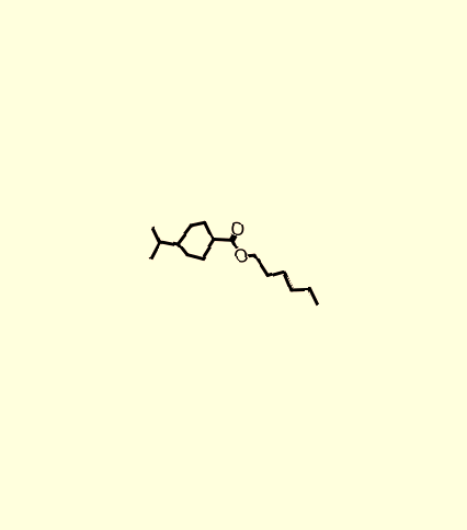 CCCCCCOC(=O)C1CCC(C(C)C)CC1